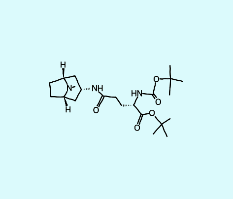 CN1[C@@H]2CC[C@H]1C[C@@H](NC(=O)CC[C@H](NC(=O)OC(C)(C)C)C(=O)OC(C)(C)C)C2